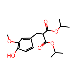 COc1cc(CC(C(=O)OC(C)C)C(=O)OC(C)C)ccc1O